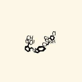 COC(=O)c1ccccc1Cn1ccc2ccc(OCC(=O)Nc3ccc(Cl)cc3Cl)cc21